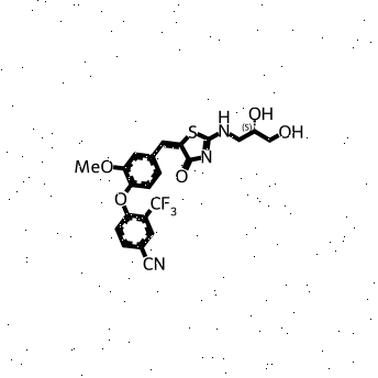 COc1cc(C=C2SC(NC[C@H](O)CO)=NC2=O)ccc1Oc1ccc(C#N)cc1C(F)(F)F